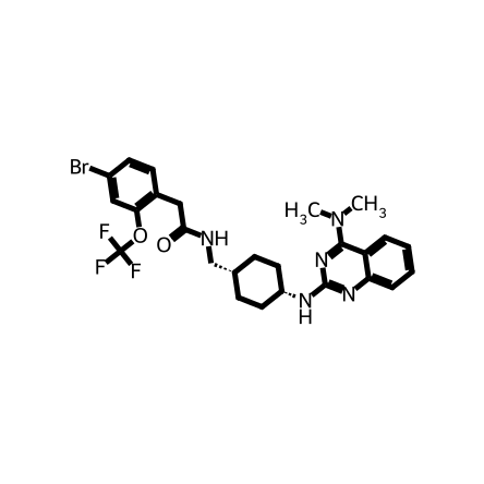 CN(C)c1nc(N[C@H]2CC[C@@H](CNC(=O)Cc3ccc(Br)cc3OC(F)(F)F)CC2)nc2ccccc12